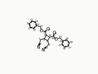 N#CCC1C(CC#N)C(C(=O)OCc2ccccc2)C1C(=O)OCc1ccccc1